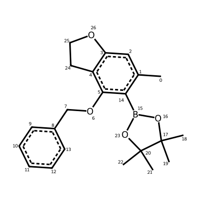 Cc1cc2c(c(OCc3ccccc3)c1B1OC(C)(C)C(C)(C)O1)CCO2